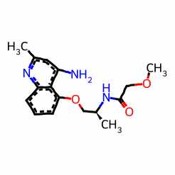 COCC(=O)N[C@@H](C)COc1cccc2nc(C)cc(N)c12